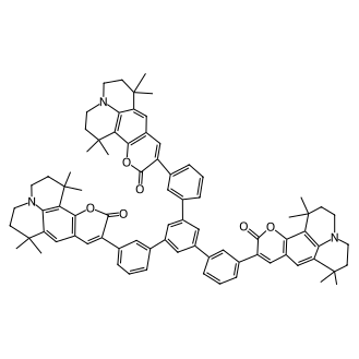 CC1(C)CCN2CCC(C)(C)c3c2c1cc1cc(-c2cccc(-c4cc(-c5cccc(-c6cc7cc8c9c(c7oc6=O)C(C)(C)CCN9CCC8(C)C)c5)cc(-c5cccc(-c6cc7cc8c9c(c7oc6=O)C(C)(C)CCN9CCC8(C)C)c5)c4)c2)c(=O)oc31